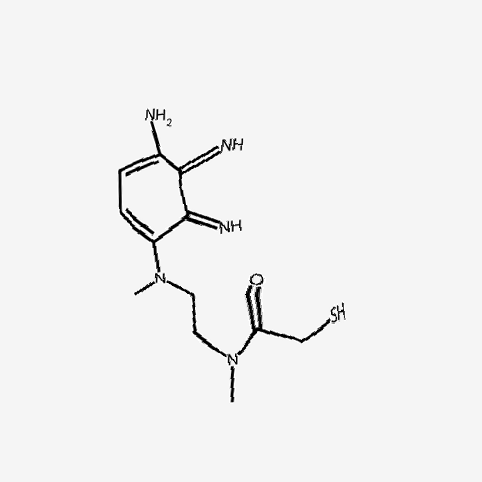 CN(CCN(C)C1=CC=C(N)C(=N)C1=N)C(=O)CS